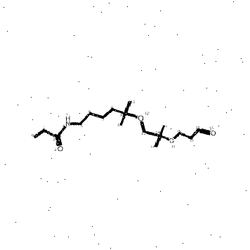 CCC(=O)NCCCCC(C)(C)OCC(C)(C)OCCC=O